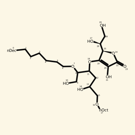 CCCCCCCCCCCCCCCCOC(CO)C(CC(O)COCCCCCCCC)OC1=C(O)C(=O)O[C@@H]1[C@@H](O)CO